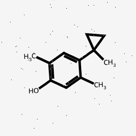 Cc1cc(C2(C)CC2)c(C)cc1O